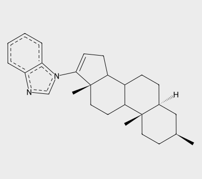 C[C@H]1CC[C@]2(C)C3CC[C@]4(C)C(n5cnc6ccccc65)=CCC4C3CC[C@H]2C1